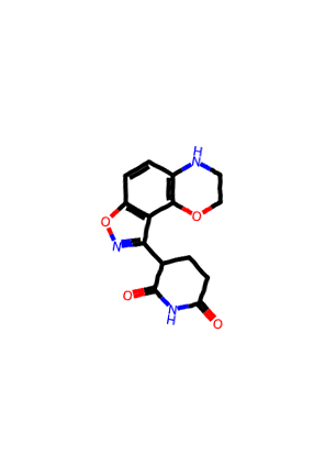 O=C1CCC(c2noc3ccc4c(c23)OCCN4)C(=O)N1